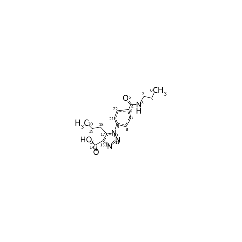 CCCNC(=O)c1ccc(-n2nnc(C(=O)O)c2CCC)cc1